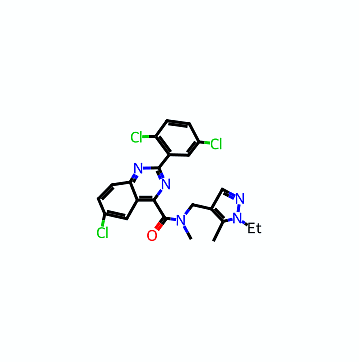 CCn1ncc(CN(C)C(=O)c2nc(-c3cc(Cl)ccc3Cl)nc3ccc(Cl)cc23)c1C